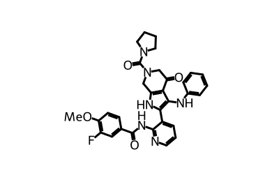 COc1ccc(C(=O)Nc2ncccc2-c2[nH]c3c(c2Nc2ccccc2)C(=O)CN(C(=O)N2CCCC2)C3)cc1F